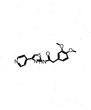 COc1ccc(CC(=O)Nc2nc(-c3ccncc3)cs2)cc1OC